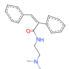 CN(C)CCNC(=O)C(=Cc1ccccc1)c1ccccc1